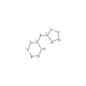 [CH]1CCC(CC2CCCCC2)C1